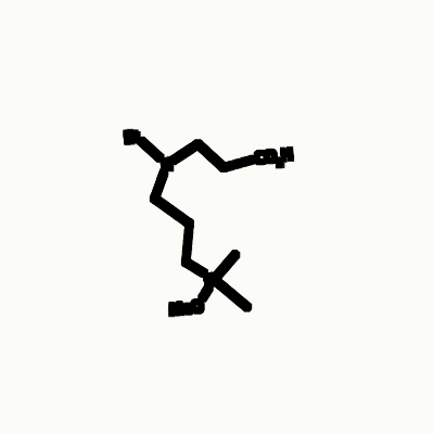 CCN(CCC[Si](C)(C)OC)CCC(=O)O